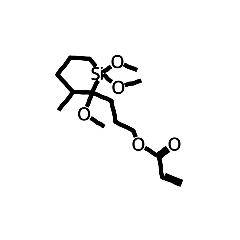 C=CC(=O)OCCCC1(OC)C(C)CCC[Si]1(OC)OC